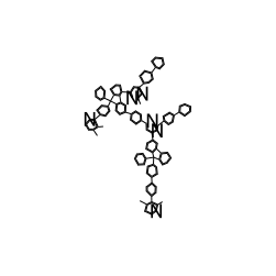 Cc1nc(-c2ccc(-c3ccccc3)cc2)cc(-c2cccc3c2-c2cc(-c4ccc(-c5cc(-c6ccc7c(c6)-c6ccccc6C7(c6ccccc6)c6ccc(-c7ccc(-c8c(C)ccnc8C)cc7)cc6)nc(-c6ccc(-c7ccccc7)cc6)n5)cc4)ccc2C3(c2ccccc2)c2ccc(-c3nccc(C)c3C)cc2)n1